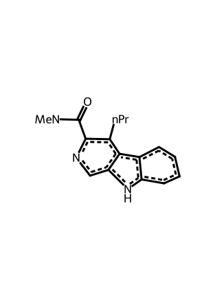 CCCc1c(C(=O)NC)ncc2[nH]c3ccccc3c12